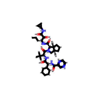 CCC[C@@H](NC(=O)[C@H]1[C@@H]2CCC[C@H]2CN1C(=O)[C@@H](NC(=O)[C@H](NC(=O)c1cnccn1)C1CCCCC1)C(C)(C)C)C(=O)C(=O)NC1CC1